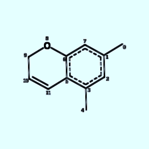 Cc1cc(C)c2c(c1)OCC=C2